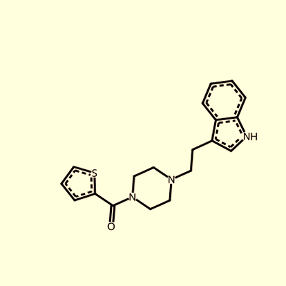 O=C(c1cccs1)N1CCN(CCc2c[nH]c3ccccc23)CC1